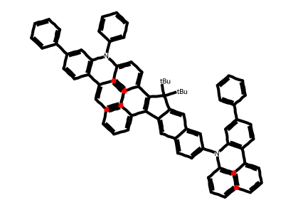 CC(C)(C)C1(C(C)(C)C)c2cc3cc(N(c4ccccc4)c4cc(-c5ccccc5)ccc4-c4ccccc4)ccc3cc2-c2c1c1ccc(N(c3ccccc3)c3cc(-c4ccccc4)ccc3-c3ccccc3)cc1c1ccccc21